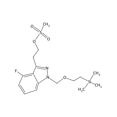 C[Si](C)(C)CCOCn1nc(CCOS(C)(=O)=O)c2c(F)cccc21